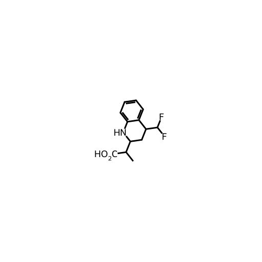 CC(C(=O)O)C1CC(C(F)F)c2ccccc2N1